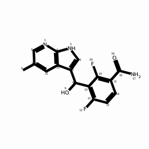 Cc1cnc2[nH]cc(C(O)c3c(F)ccc(C(N)=O)c3F)c2c1